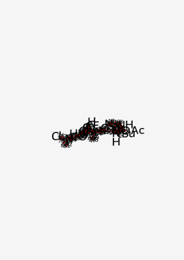 CC(=O)O[C@@H]1C[C@@H](C(=O)N[C@@H](C)c2ccc(-c3scnc3C)cc2)N(C(=O)[C@@H](NC(=O)CCCCCC(=O)N2CCN(CC[C@H](CSc3ccccc3)Nc3ccc(S(=O)(=O)NC(=O)c4ccc(N5CCN(CC6=C(c7ccc(Cl)cc7)CCCCC6)CC5)cc4)cc3S(=O)(=O)C(F)(F)F)CC2)C(C)(C)C)C1